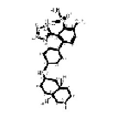 NS(=O)(=O)c1c(C(F)(F)F)ccc(C2CCC(NC3CC[C@@H]4CNCC[C@H]4C3)CC2)c1-c1nnn[nH]1